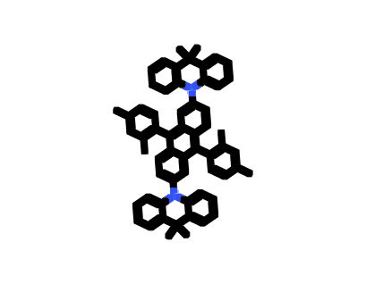 Cc1ccc(-c2c3ccc(N4c5ccccc5C(C)(C)c5ccccc54)cc3c(-c3ccc(C)cc3C)c3ccc(N4C5=C(C=CCC5)C(C)(C)c5ccccc54)cc23)c(C)c1